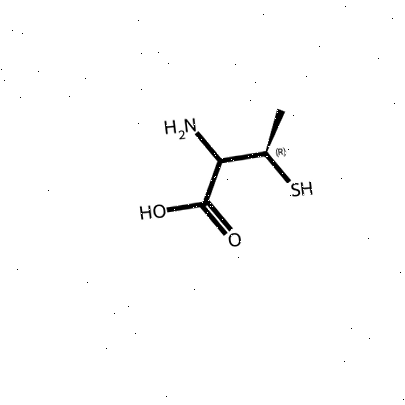 C[C@@H](S)C(N)C(=O)O